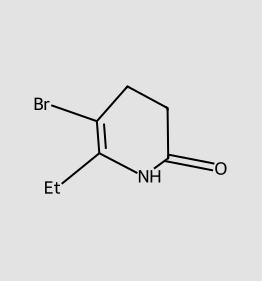 CCC1=C(Br)CCC(=O)N1